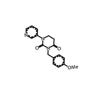 COc1ccc(CN2C(=O)CCN(c3cccnc3)C2=O)cc1